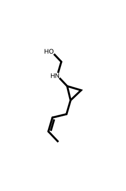 C/C=C\CC1CC1NCO